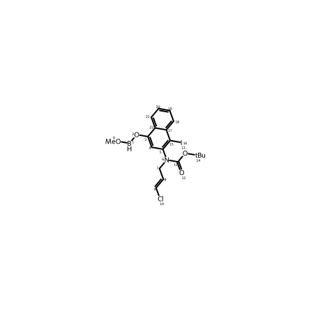 COBOc1cc(N(CC=CCl)C(=O)OC(C)(C)C)c(I)c2ccccc12